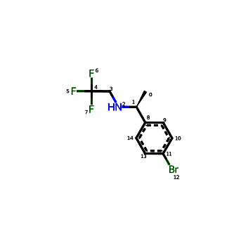 C[C@H](NCC(F)(F)F)c1ccc(Br)cc1